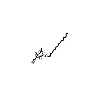 CCCCCCCCCCCCCC/C=C\OC[C@H](COP(=O)(O)OCC[N+](C)(C)C)OC(C)=O